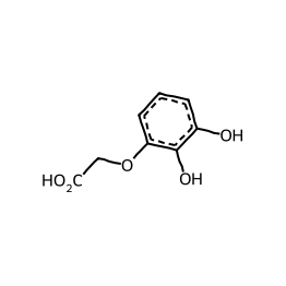 O=C(O)COc1cccc(O)c1O